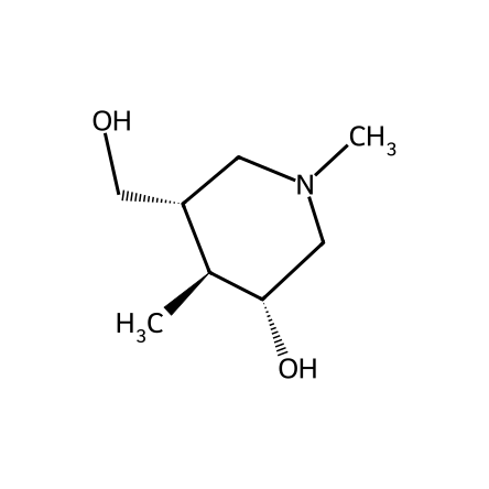 C[C@H]1[C@H](CO)CN(C)C[C@@H]1O